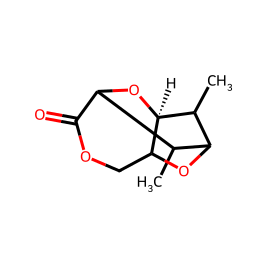 CC1C2O[C@@H]3C(COC2=O)OC1C3C